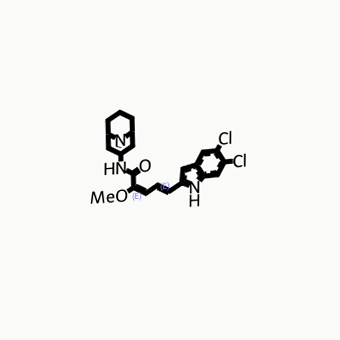 CO/C(=C/C=C/c1cc2cc(Cl)c(Cl)cc2[nH]1)C(=O)NC1CC2CCCC(C1)N2C